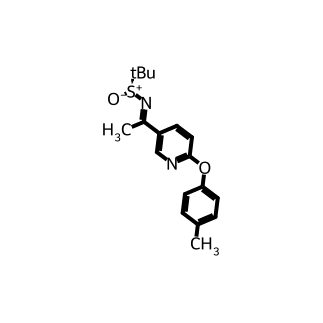 C/C(=N\[S@+]([O-])C(C)(C)C)c1ccc(Oc2ccc(C)cc2)nc1